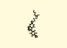 C=CCN(C)CCCOc1ccc2c(-c3ccc(Br)cc3)nsc2c1